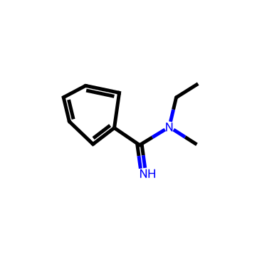 CCN(C)C(=N)c1ccccc1